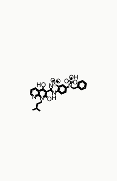 CC(C)CCn1c(=O)c(C2=NS(=O)(=O)c3cc(N(Cc4ccccc4)S(=O)(=O)O)ccc3N2)c(O)c2cccnc21